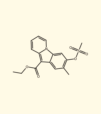 CCOC(=O)c1c2cc(C)c(OS(C)(=O)=O)cc2n2ccccc12